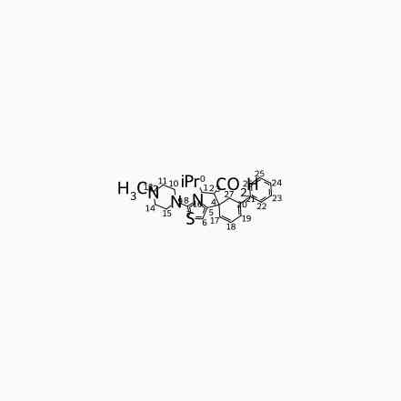 CC(C)CC(C(=O)O)C1(c2csc(N3CCN(C)CC3)n2)C=CC=C(c2ccccc2)C1